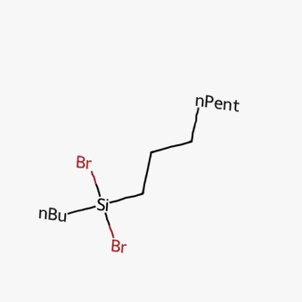 CCCCCCCC[Si](Br)(Br)CCCC